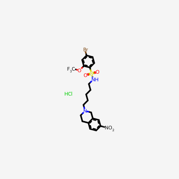 Cl.O=[N+]([O-])c1ccc2c(c1)CN(CCCCCNS(=O)(=O)c1ccc(Br)cc1OC(F)(F)F)CC2